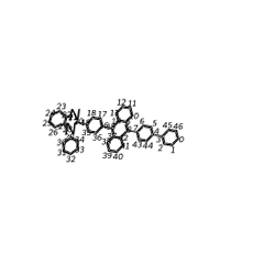 c1ccc(-c2ccc(-c3c4ccccc4c(-c4ccc(-c5nc6ccccc6n5-c5ccccc5)cc4)c4ccccc34)cc2)cc1